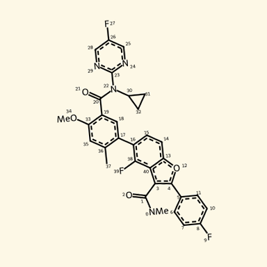 CNC(=O)c1c(-c2ccc(F)cc2)oc2ccc(-c3cc(C(=O)N(c4ncc(F)cn4)C4CC4)c(OC)cc3C)c(F)c12